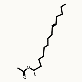 CCCC/C=C/CCCCCCC[C@H](C)OC(C)=O